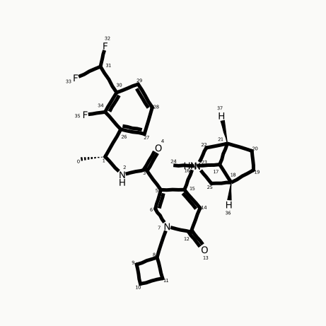 C[C@@H](NC(=O)c1cn(C2CCC2)c(=O)cc1NC1[C@@H]2CC[C@H]1CN(C)C2)c1cccc(C(F)F)c1F